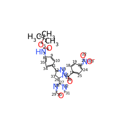 CC(C)(C)OC(=O)Nc1ccc(C2=NN(C(=O)c3ccc([N+](=O)[O-])cc3)C(C3N=COC=N3)C2)cc1